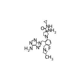 CC1CN(Cc2c(F)ccc(N3CC[C@](N)(C(=O)NC4CC4)C3)c2Cn2cnc3c(N)ncnc32)C1